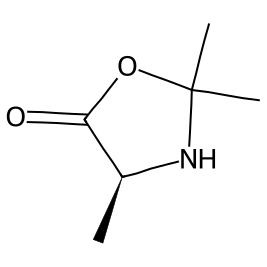 C[C@@H]1NC(C)(C)OC1=O